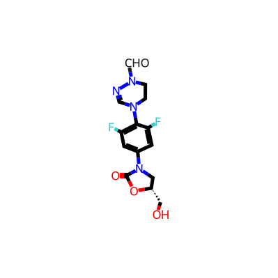 O=CN1CCN(c2c(F)cc(N3C[C@H](CO)OC3=O)cc2F)C=N1